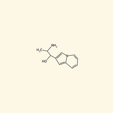 CC(N)C(O)c1cc2ccccn2c1